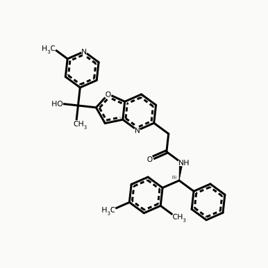 Cc1ccc([C@@H](NC(=O)Cc2ccc3oc(C(C)(O)c4ccnc(C)c4)cc3n2)c2ccccc2)c(C)c1